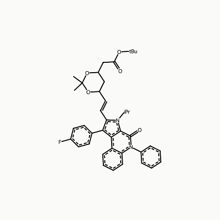 CC(C)n1c(/C=C/C2CC(CC(=O)OC(C)(C)C)OC(C)(C)O2)c(-c2ccc(F)cc2)c2c3ccccc3n(-c3ccccc3)c(=O)c21